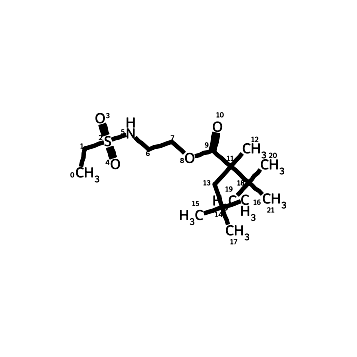 CCS(=O)(=O)NCCOC(=O)C(C)(CC(C)(C)C)C(C)(C)C